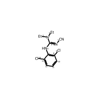 CCN(CC)/C(=N\C#N)Nc1c(Cl)cccc1Cl